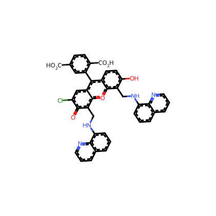 O=C(O)c1ccc(C(=O)O)c(-c2c3cc(Cl)c(=O)c(CNc4cccc5cccnc45)c-3oc3c(CNc4cccc5cccnc45)c(O)ccc23)c1